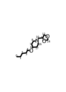 CCCCCOC1CCN(CC2COCO2)CC1